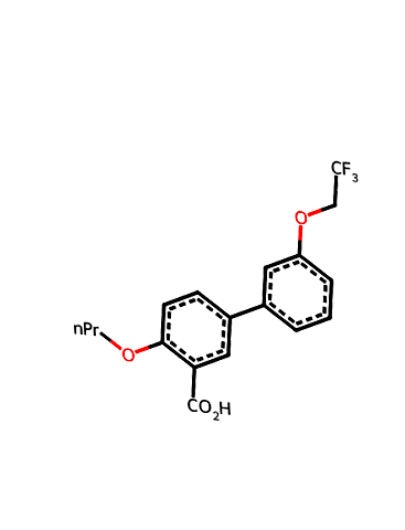 CCCOc1ccc(-c2cccc(OCC(F)(F)F)c2)cc1C(=O)O